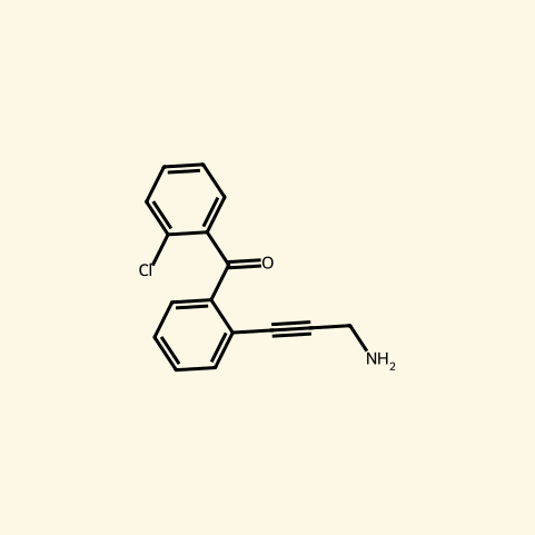 NCC#Cc1ccccc1C(=O)c1ccccc1Cl